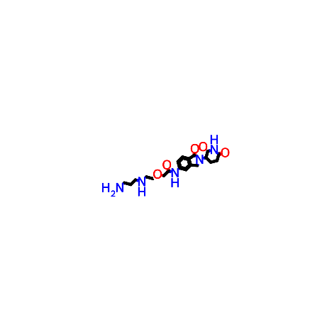 NCCCNCCOCC(=O)Nc1ccc2c(c1)CN(C1CCC(=O)NC1=O)C2=O